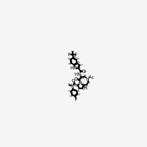 CC(=O)N1CC[C@H]2CC[C@@H](C(=O)N(C)c3ccc(F)cc3)N2C(=O)[C@@H](NC(=O)c2cc3cc(C(C)(F)F)ccc3[nH]2)C1